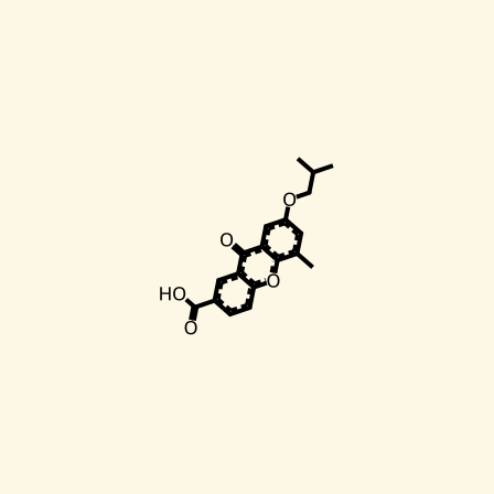 Cc1cc(OCC(C)C)cc2c(=O)c3cc(C(=O)O)ccc3oc12